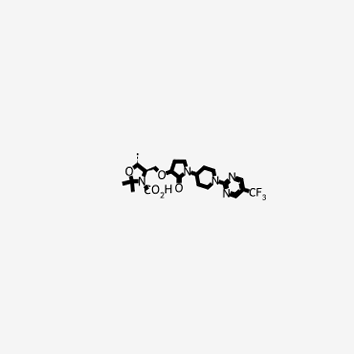 C[C@H]1OC(C)(C)N(C(=O)O)[C@@H]1COC1CCN(C2CCN(c3ncc(C(F)(F)F)cn3)CC2)C1=O